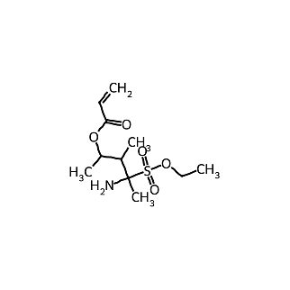 C=CC(=O)OC(C)C(C)C(C)(N)S(=O)(=O)OCC